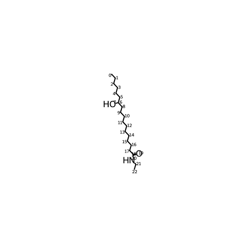 CCCCCCC(O)CCCCCCCCCCC(=O)NCC